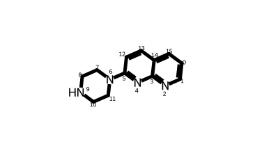 c1cnc2nc(N3CCNCC3)ccc2c1